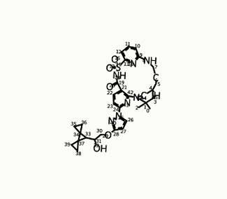 CC1(C)C[C@@H]2CCCNc3cccc(n3)S(=O)(=O)NC(=O)c3ccc(-n4ccc(OCC(O)C5C6(CC6)C56CC6)n4)nc3N1C2